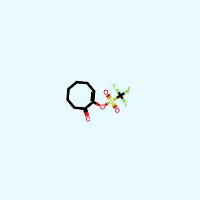 O=C1CCCCCC=C1OS(=O)(=O)C(F)(F)F